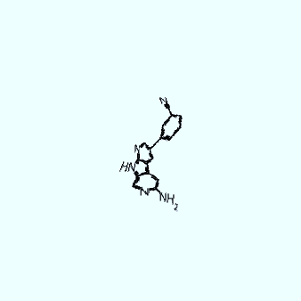 N#Cc1cccc(-c2cnc3[nH]c4cnc(N)cc4c3c2)c1